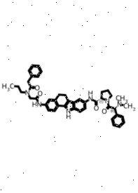 CCCN(CC(=O)Nc1ccc2c(c1)CCc1c-2[nH]c2ccc(NC(=O)[C@@H]3CCCN3C(=O)[C@@H](c3ccccc3)N(C)C)cc12)C(=O)Cc1ccccc1